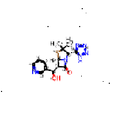 CC1(C)S[C@@H]2[C@H](C(O)c3cccnc3)C(=O)N2[C@H]1c1nnn[nH]1